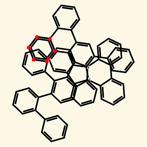 c1ccc(-c2ccccc2-c2ccc3c(c2-c2ccccc2)c2c(-c4ccccc4)c(-c4ccccc4-c4ccccc4)cc(-c4ccccc4)c2n3-c2ccccc2-c2ccccc2-n2c3ccccc3c3ccccc32)cc1